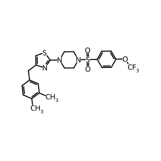 Cc1ccc(Cc2csc(N3CCN(S(=O)(=O)c4ccc(OC(F)(F)F)cc4)CC3)n2)cc1C